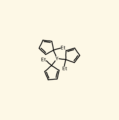 CC[C]1([Y]([C]2(CC)C=CC=C2)[C]2(CC)C=CC=C2)C=CC=C1